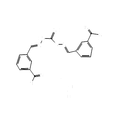 Cl.Cl.Cl.N=C(NN=Cc1cccc(C(=N)N)c1)NN=Cc1cccc(C(=N)N)c1.O.O